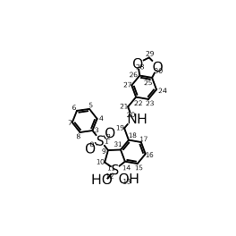 O=S(=O)(c1ccccc1)C1CS(O)(O)c2cccc(CNCc3ccc4c(c3)OCO4)c21